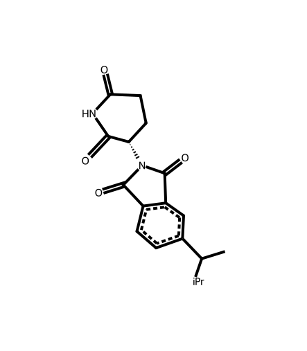 CC(C)C(C)c1ccc2c(c1)C(=O)N([C@H]1CCC(=O)NC1=O)C2=O